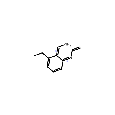 C=C/N=C1/C=CC=C(CC)/C1=C/N